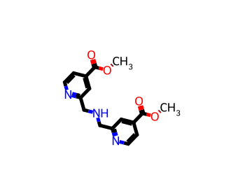 COC(=O)c1ccnc(CNCc2cc(C(=O)OC)ccn2)c1